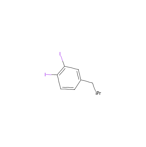 CC(C)Cc1ccc(I)c(I)c1